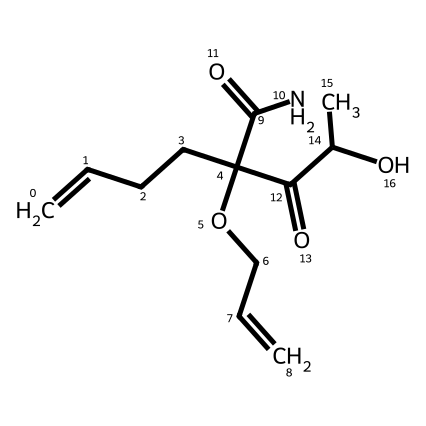 C=CCCC(OCC=C)(C(N)=O)C(=O)C(C)O